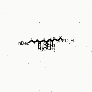 C=C.C=C.C=C.CCCCCCCCCCCCCCCCCCCCCC(=O)O